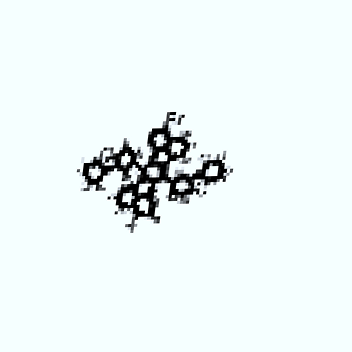 Brc1ccc2c3c(-c4ccc5oc6ccccc6c5c4)c4c5cccc6c(I)ccc(c4c(-c4ccc7oc8ccccc8c7c4)c3c3cccc1c23)c65